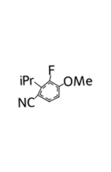 COc1ccc(C#N)c(C(C)C)c1F